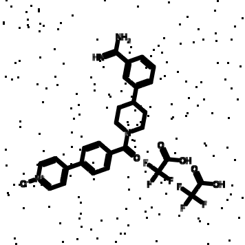 N=C(N)c1cccc(C2CCN(C(=O)c3ccc(-c4cc[n+]([O-])cc4)cc3)CC2)c1.O=C(O)C(F)(F)F.O=C(O)C(F)(F)F